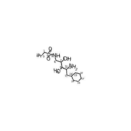 CC(C)CS(=O)(=O)NCC(O)C(O)C(N)CC1CCCCC1